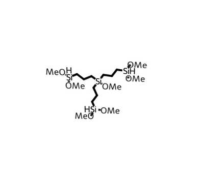 CO[SiH](CCC[Si](CCC[SiH](OC)OC)(CCC[SiH](OC)OC)OC)OC